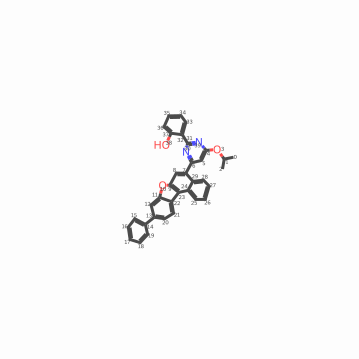 CC(C)Oc1cc(-c2cc3oc4cc(-c5ccccc5)ccc4c3c3ccccc23)nc(-c2ccccc2O)n1